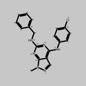 Cn1ncc2c(Nc3ccc(Cl)cc3)nc(NCc3ccccc3)nc21